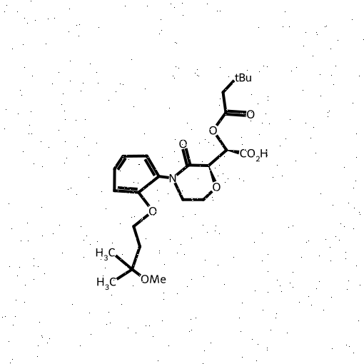 COC(C)(C)CCOc1ccccc1N1CCO[C@H]([C@@H](OC(=O)CC(C)(C)C)C(=O)O)C1=O